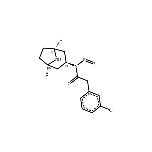 O=C(Cc1cccc(Cl)c1)N(P=S)[C@H]1C[C@H]2CC[C@@H](C1)N2